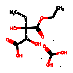 CCOC(=O)C(O)(CC)C(O)C(=O)O.O=C(O)O